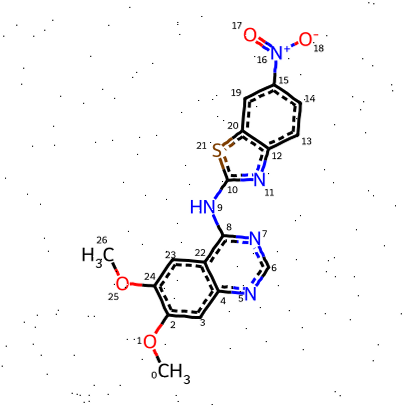 COc1cc2ncnc(Nc3nc4ccc([N+](=O)[O-])cc4s3)c2cc1OC